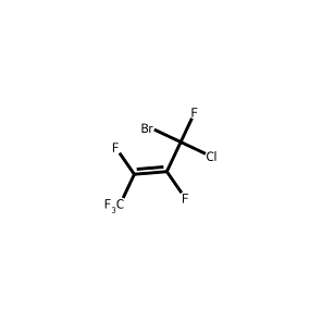 FC(=C(F)C(F)(Cl)Br)C(F)(F)F